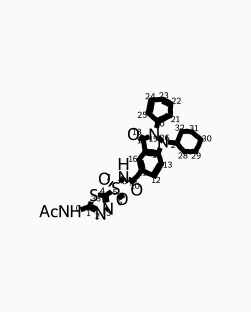 CC(=O)Nc1nnc(S(=O)(=O)NC(=O)c2ccc3c(c2)c(=O)n(-c2ccccc2)n3C2CCCCC2)s1